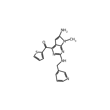 Cn1c(N)cc2c(C(=O)c3cccs3)nc(NCc3cccnc3)nc21